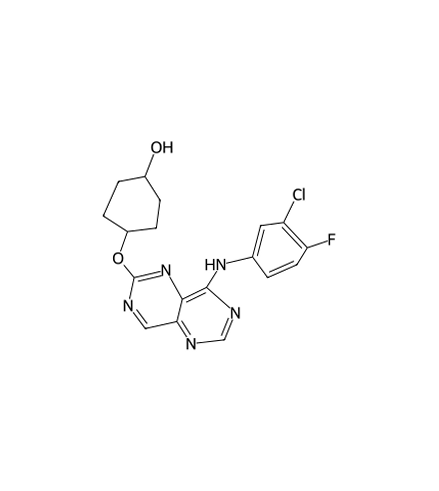 OC1CCC(Oc2ncc3ncnc(Nc4ccc(F)c(Cl)c4)c3n2)CC1